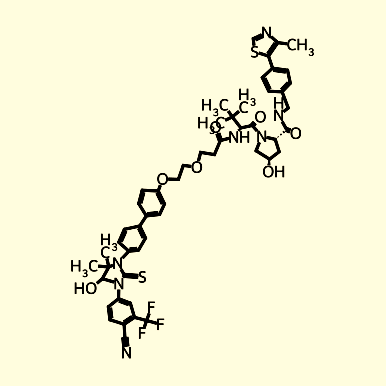 Cc1ncsc1-c1ccc(CNC(=O)[C@@H]2C[C@@H](O)CN2C(=O)[C@@H](NC(=O)CCOCCOc2ccc(-c3ccc(N4C(=S)N(c5ccc(C#N)c(C(F)(F)F)c5)C(O)C4(C)C)cc3)cc2)C(C)(C)C)cc1